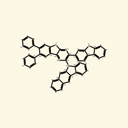 c1ccc(-c2cc3sc4nc(-c5ccc6c(c5)sc5ccccc56)c(-n5c6ccccc6c6cc7ccccc7cc65)nc4c3cc2-c2ccccc2)cc1